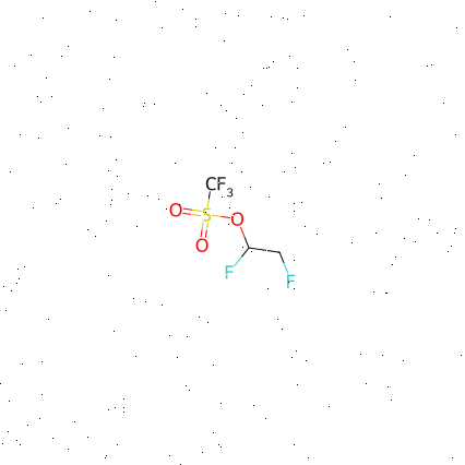 O=S(=O)(OC(F)CF)C(F)(F)F